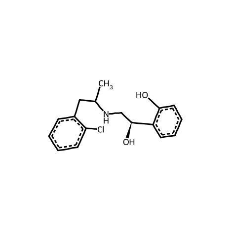 CC(Cc1ccccc1Cl)NC[C@H](O)c1ccccc1O